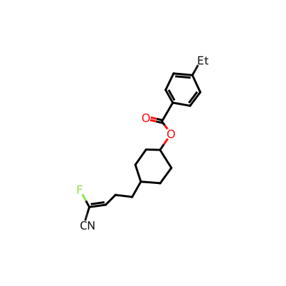 CCc1ccc(C(=O)OC2CCC(CCC=C(F)C#N)CC2)cc1